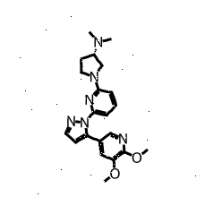 COc1cc(-c2ccnn2-c2cccc(N3CC[C@H](N(C)C)C3)n2)cnc1OC